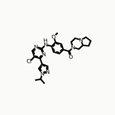 COc1cc(C(=O)N2CCN3CCCC3C2)ccc1Nc1ncc(Cl)c(-c2cnn(C(C)C)c2)n1